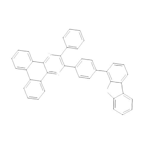 c1ccc(-c2nc3c4ccccc4c4ccccc4c3nc2-c2ccc(-c3cccc4c3sc3ccccc34)cc2)cc1